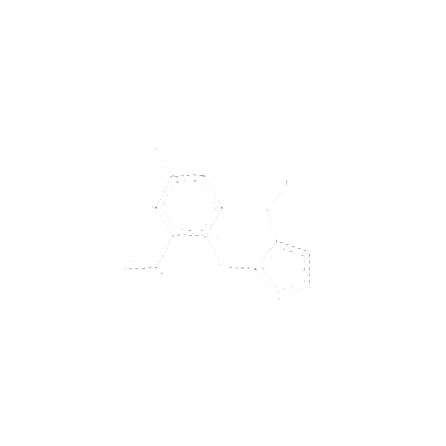 Fc1ccc(Sc2sccc2CCl)c(CCl)c1